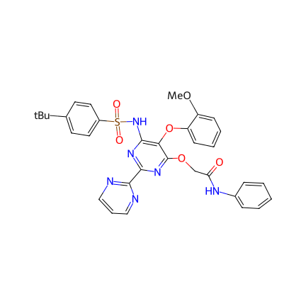 COc1ccccc1Oc1c(NS(=O)(=O)c2ccc(C(C)(C)C)cc2)nc(-c2ncccn2)nc1OCC(=O)Nc1ccccc1